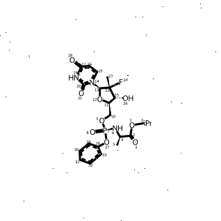 CC(C)OC(=O)[C@@H](C)N[P@@](=O)(OC[C@H]1O[C@@H](n2ccc(=O)[nH]c2=O)[C@](C)(F)[C@@H]1O)Oc1ccccc1